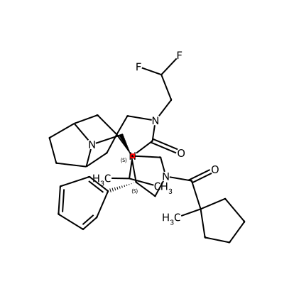 CC(C)N1C(=O)N(CC(F)F)CC12CC1CCC(C2)N1C[C@H]1CN(C(=O)C2(C)CCCC2)C[C@@H]1c1ccccc1